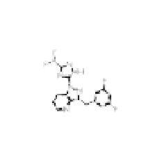 Fc1cc(F)cc(Cc2nn(-c3nc(C(F)F)n[nH]3)c3cccnc23)c1